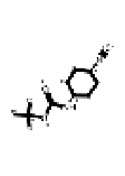 [C-]#[N+][C@H]1CC[C@H](NC(=O)OC(C)(C)C)CC1